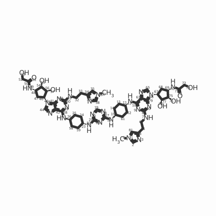 Cn1cnc(CCNc2nc(N[C@H]3CC[C@H](Nc4ncnc(N[C@H]5CC[C@H](Nc6nc(NCCc7cn(C)cn7)nc7c6ncn7[C@@H]6C[C@H](NC(=O)CO)[C@@H](O)[C@H]6O)CC5)n4)CC3)c3ncn([C@@H]4C[C@H](NC(=O)CO)[C@@H](O)[C@H]4O)c3n2)c1